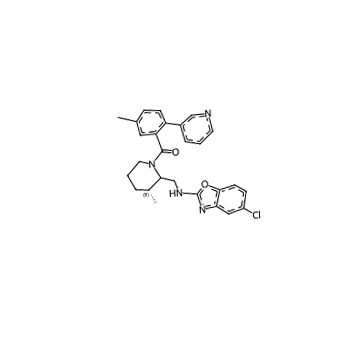 Cc1ccc(-c2cccnc2)c(C(=O)N2CCC[C@@H](C)C2CNc2nc3cc(Cl)ccc3o2)c1